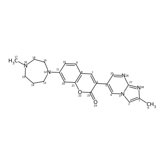 Cc1cn2cc(-c3cc4ccc(N5CCCN(C)CC5)cc4oc3=O)cnc2n1